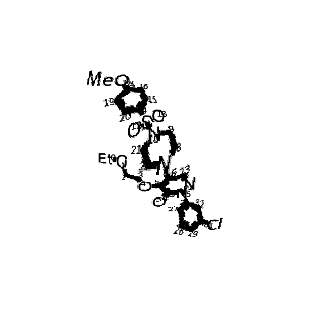 CCOCCOc1c(N2CCN(S(=O)(=O)c3ccc(OC)cc3)CC2)cnn(-c2cccc(Cl)c2)c1=O